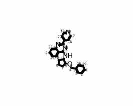 c1ccc(CO[C@H]2CCCC2Nc2nc(-c3ccncc3)nc3ccccc23)cc1